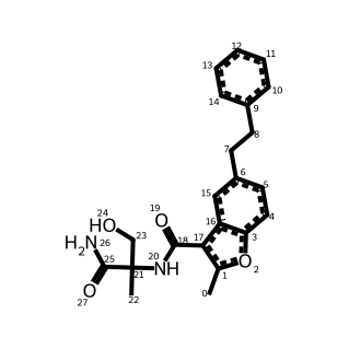 Cc1oc2ccc(CCc3ccccc3)cc2c1C(=O)NC(C)(CO)C(N)=O